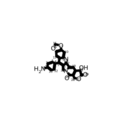 Nc1ccc(-c2c3c(nc4cc5c(cc24)OCO5)-c2cc4c(c(=O)n2C3)COC(=O)C4O)cc1